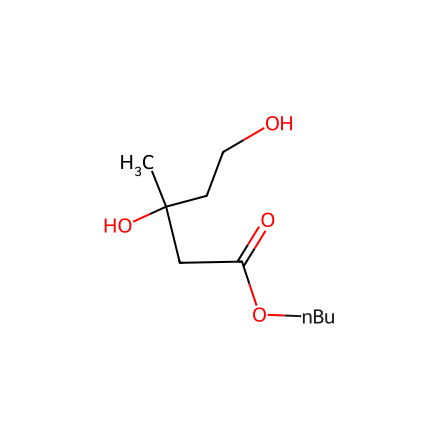 CCCCOC(=O)CC(C)(O)CCO